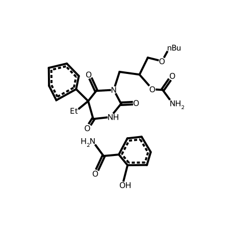 CCCCOCC(CN1C(=O)NC(=O)C(CC)(c2ccccc2)C1=O)OC(N)=O.NC(=O)c1ccccc1O